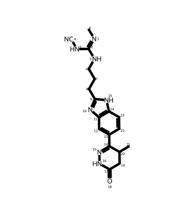 CN=C(NC#N)NCCCc1nc2cc(C3=NNC(=O)CC3C)ccc2[nH]1